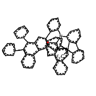 CC1(c2ccccc2)c2ccccc2-c2cccc(N(c3ccccc3-c3ccc4c(c3)c(-c3ccccc3)c(-c3ccccc3)c3ccccc34)c3cccc4c3ccc3ccccc34)c21